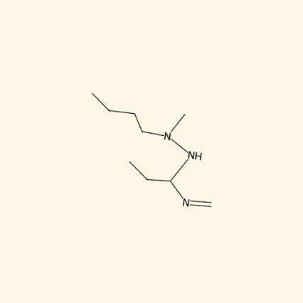 C=NC(CC)NN(C)CCCC